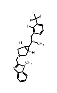 CN(Cc1cccc(C(F)(F)F)c1F)C1[C@H]2CN(Cc3nc4ccccc4n3C)C[C@@H]12